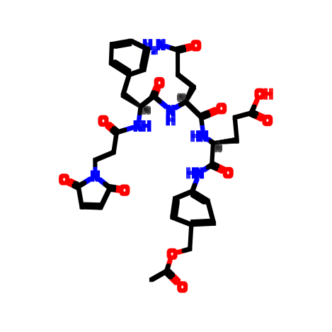 CC(=O)OCc1ccc(NC(=O)[C@H](CCC(=O)O)NC(=O)[C@H](CCC(N)=O)NC(=O)[C@H](Cc2ccccc2)NC(=O)CCN2C(=O)C=CC2=O)cc1